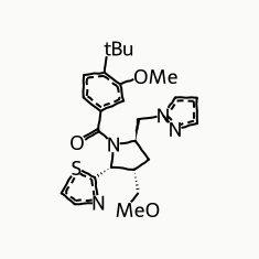 COC[C@H]1C[C@H](Cn2cccn2)N(C(=O)c2ccc(C(C)(C)C)c(OC)c2)[C@H]1c1nccs1